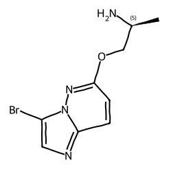 C[C@H](N)COc1ccc2ncc(Br)n2n1